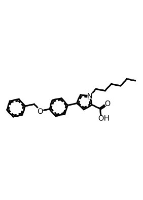 CCCCCCn1cc(-c2ccc(OCc3ccccc3)cc2)cc1C(=O)O